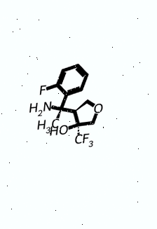 C[C@@](N)(c1ccccc1F)[C@H]1COC[C@]1(O)C(F)(F)F